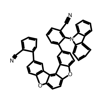 N#Cc1ccccc1-c1ccc2oc3ccc4oc5ccc(-c6cccc(C#N)c6-n6c7ccccc7c7ccccc76)cc5c4c3c2c1